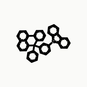 c1ccc(C2(c3cccc(-n4c5ccccc5c5ccccc54)c3)c3ccccc3-c3cccc4cccc2c34)cc1